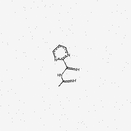 CC(=N)NC(=N)c1ncccn1